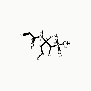 C=CC(=O)NC(C)(CCC)C(C)S(=O)(=O)O